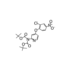 CC(C)(C)OC(=O)N(C(=O)OC(C)(C)C)c1cc(Oc2ccc([N+](=O)[O-])cc2Cl)ccn1